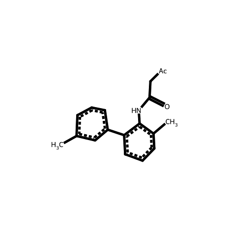 CC(=O)CC(=O)Nc1c(C)cccc1-c1cccc(C)c1